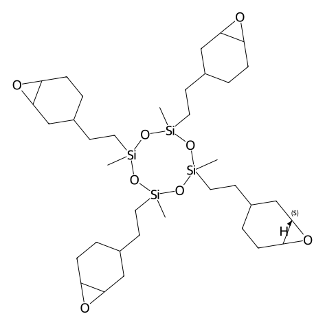 C[Si]1(CCC2CCC3OC3C2)O[Si](C)(CCC2CCC3OC3C2)O[Si](C)(CCC2CCC3O[C@H]3C2)O[Si](C)(CCC2CCC3OC3C2)O1